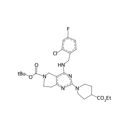 CCOC(=O)C1CCN(c2nc3c(c(NCc4ccc(F)cc4Cl)n2)CN(C(=O)OC(C)(C)C)CC3)CC1